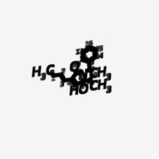 CCCCC1=CC(O)(C(C)C)N(Cc2ccccc2)C1=O